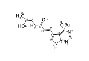 CC(C)COc1ncnc2[nH]cc(/C=C/C(=O)NCC(C)O)c12